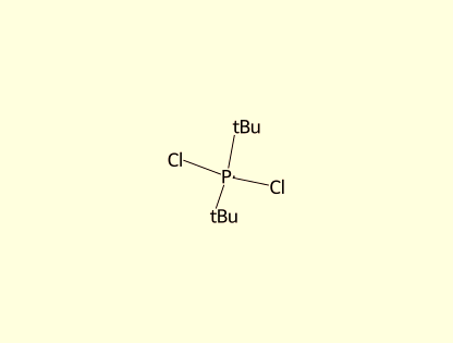 CC(C)(C)[P](Cl)(Cl)C(C)(C)C